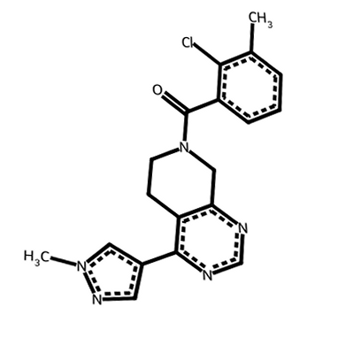 Cc1cccc(C(=O)N2CCc3c(ncnc3-c3cnn(C)c3)C2)c1Cl